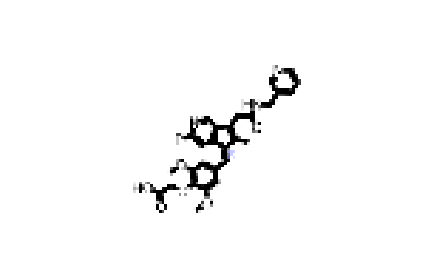 COc1cc(/C=C2/C(C)=C(CC(=O)NCc3cccnc3)c3cnc(F)cc32)cc(OC)c1OCC(=O)O